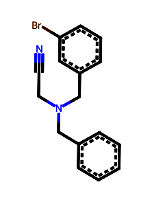 N#CCN(Cc1ccccc1)Cc1cccc(Br)c1